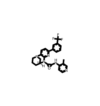 Cc1cnccc1NC1OC1N1c2nc(-c3cccc(C(F)(F)F)c3)ccc2N2CCC[C@H]1C2